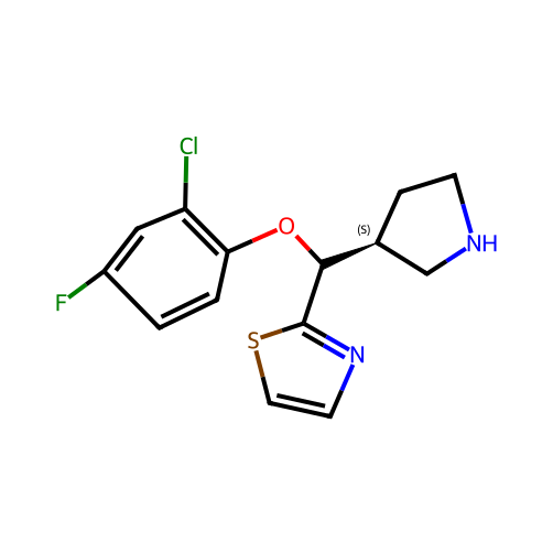 Fc1ccc(OC(c2nccs2)[C@H]2CCNC2)c(Cl)c1